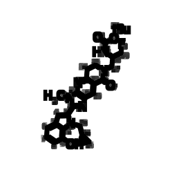 Cn1c(-c2cc3cccc(O)c3n2CC2CC2)nc2cc3c(nc21)CCN(CC(CF)NC(=O)OC(C)(C)C)C3=O